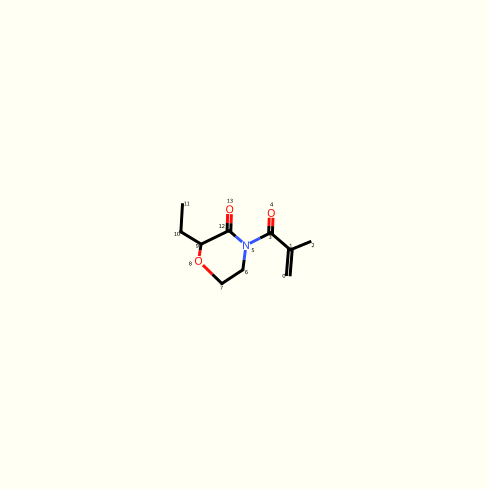 C=C(C)C(=O)N1CCOC(CC)C1=O